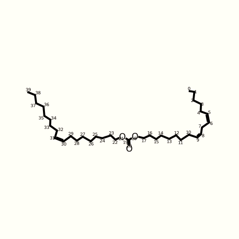 CCCCC/C=C\C/C=C\CCCCCCCCOC(=O)OCCCCCCCC/C=C\CCCCCCCC